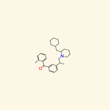 Cc1ccccc1C(=O)c1cccc(C(C)CN2CCCCC2CC2CCCCC2)c1